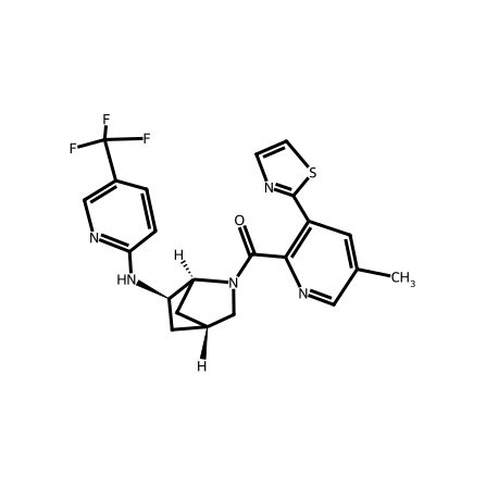 Cc1cnc(C(=O)N2C[C@@H]3C[C@@H](Nc4ccc(C(F)(F)F)cn4)[C@@H]2C3)c(-c2nccs2)c1